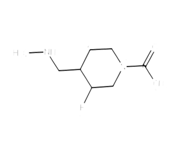 CNCC1CCN(C(C)=O)CC1F